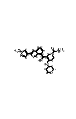 CNC(=O)N1CCC(NC2CCOCC2)=C(C(=N)c2cccc3cc(-c4cnn(C)c4)ncc23)C1